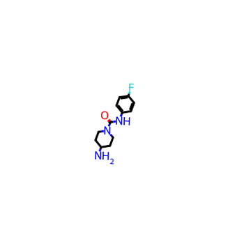 NC1CCN(C(=O)Nc2ccc(F)cc2)CC1